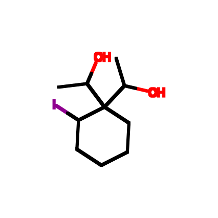 CC(O)C1(C(C)O)CCCCC1I